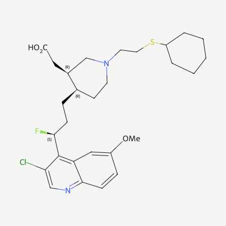 COc1ccc2ncc(Cl)c([C@@H](F)CC[C@@H]3CCN(CCSC4CCCCC4)C[C@@H]3CC(=O)O)c2c1